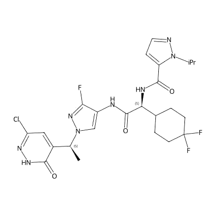 CC(C)n1nccc1C(=O)N[C@H](C(=O)Nc1cn([C@@H](C)c2cc(Cl)n[nH]c2=O)nc1F)C1CCC(F)(F)CC1